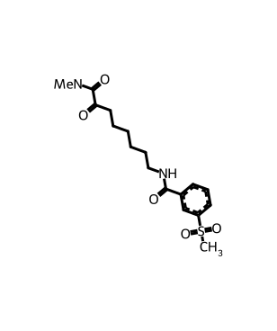 CNC(=O)C(=O)CCCCCCNC(=O)c1cccc(S(C)(=O)=O)c1